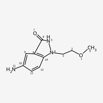 COCCn1[nH]c(=O)c2cc(N)ccc21